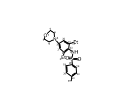 CCc1cc(N2CCOCC2)cc(CC)c1NS(=O)(=O)c1ccc(C)cc1